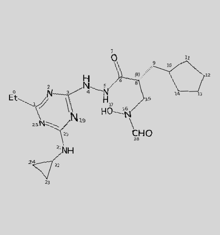 CCc1nc(NNC(=O)[C@H](CC2CCCC2)CN(O)C=O)nc(NC2CC2)n1